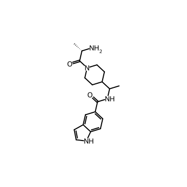 CC(NC(=O)c1ccc2[nH]ccc2c1)C1CCN(C(=O)[C@H](C)N)CC1